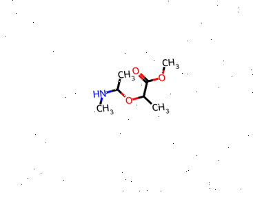 CNC(C)OC(C)C(=O)OC